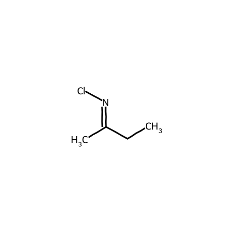 CCC(C)=NCl